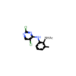 CC(=O)Nc1c(C)cccc1Nc1nc(Cl)ncc1Cl